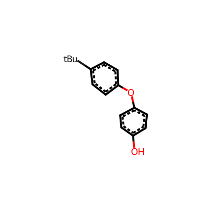 CC(C)(C)c1ccc(Oc2ccc(O)cc2)cc1